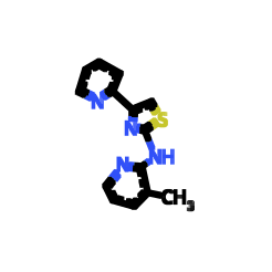 Cc1cccnc1Nc1nc(-c2ccccn2)cs1